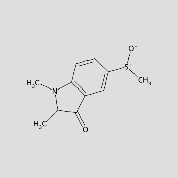 CC1C(=O)c2cc([S+](C)[O-])ccc2N1C